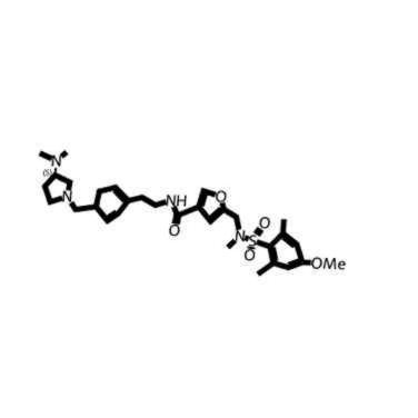 COc1cc(C)c(S(=O)(=O)N(C)Cc2cc(C(=O)NCCC3=CCC(CN4CC[C@H](N(C)C)C4)C=C3)co2)c(C)c1